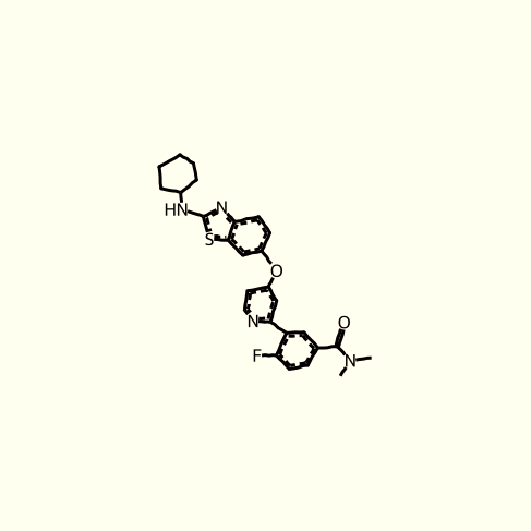 CN(C)C(=O)c1ccc(F)c(-c2cc(Oc3ccc4nc(NC5CCCCC5)sc4c3)ccn2)c1